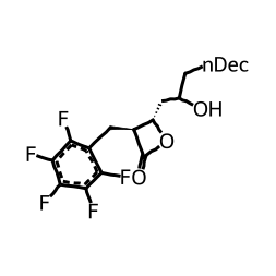 CCCCCCCCCCCC(O)C[C@@H]1OC(=O)[C@H]1Cc1c(F)c(F)c(F)c(F)c1F